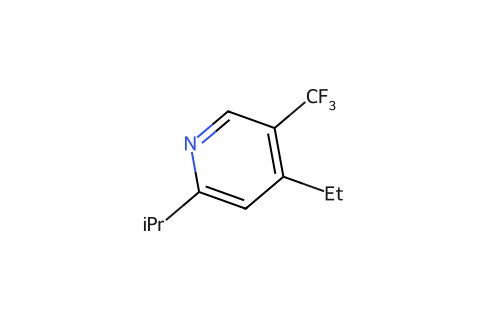 CCc1cc(C(C)C)ncc1C(F)(F)F